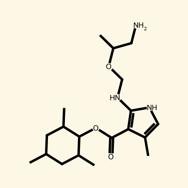 Cc1c[nH]c(NCOC(C)CN)c1C(=O)OC1C(C)CC(C)CC1C